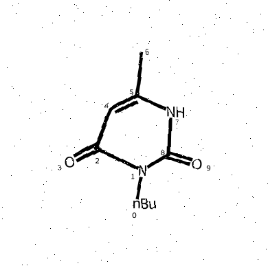 CCCCn1c(=O)cc(C)[nH]c1=O